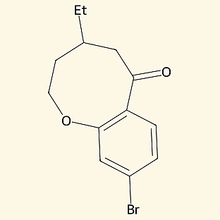 CCC1CCOc2cc(Br)ccc2C(=O)C1